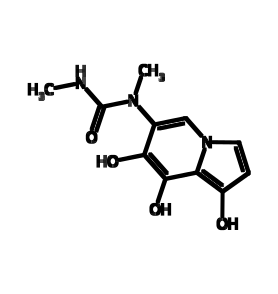 CNC(=O)N(C)c1cn2ccc(O)c2c(O)c1O